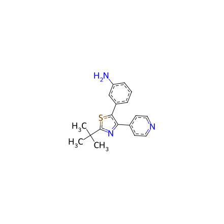 CC(C)(C)c1nc(-c2ccncc2)c(-c2cccc(N)c2)s1